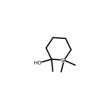 CC1(O)CCCC[Si]1(C)C